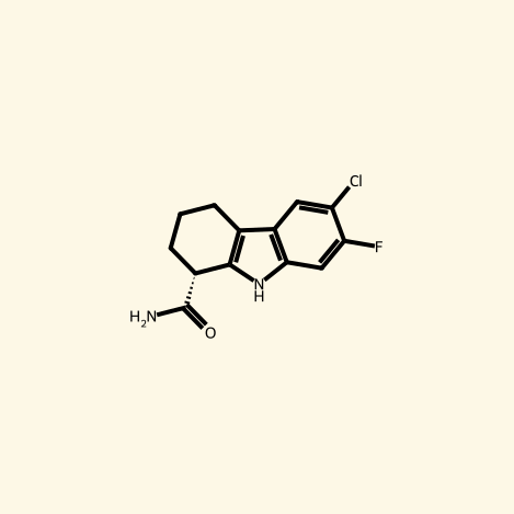 NC(=O)[C@@H]1CCCc2c1[nH]c1cc(F)c(Cl)cc21